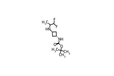 CC(N[C@H]1C[C@H](NC(=O)OC(C)(C)C)C1)C(F)F